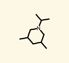 CC1CC(C)CN(C(C)C)C1